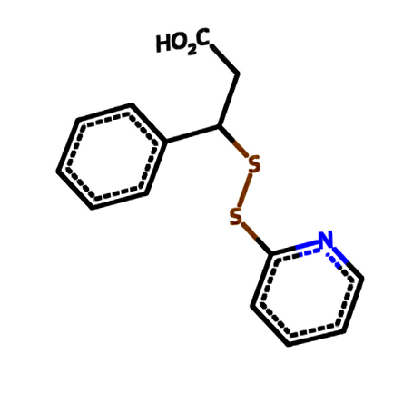 O=C(O)CC(SSc1ccccn1)c1ccccc1